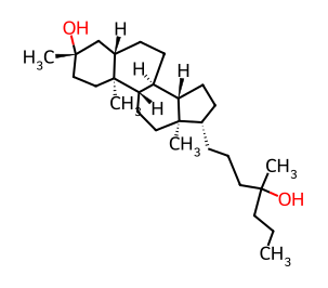 CCCC(C)(O)CCC[C@H]1CC[C@H]2[C@@H]3CC[C@H]4C[C@@](C)(O)CC[C@]4(C)[C@H]3CC[C@]12C